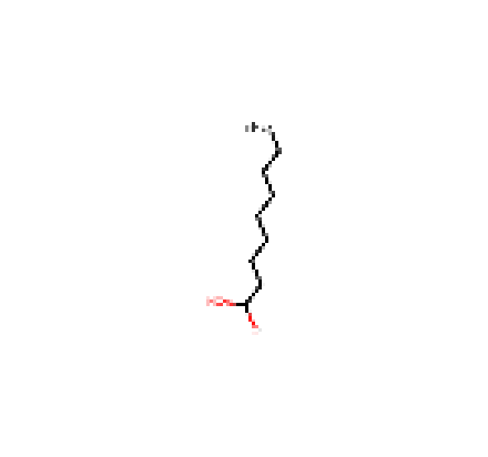 CCCCCCCCCCCCCC([O])O